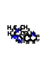 CC(C(=O)O)N(C)C.c1c[nH]cn1.c1ccc2ncccc2c1